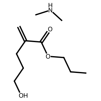 C=C(CCCO)C(=O)OCCC.CNC